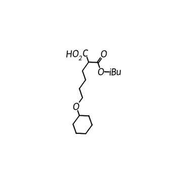 CCC(C)OC(=O)C(CCCCOC1CCCCC1)C(=O)O